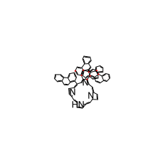 C1=Cc2cc3c(-c4cccc5c4ccc4ccccc45)c(-c4cccc5c4ccc4ccccc45)c(c(-c4cccc5c4ccc4ccccc45)c4nc(cc5ccc(cc1n2)[nH]5)C=C4)n3-c1cccc2c1ccc1ccccc12